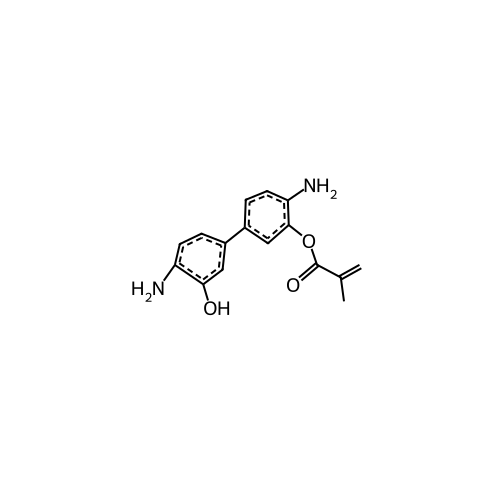 C=C(C)C(=O)Oc1cc(-c2ccc(N)c(O)c2)ccc1N